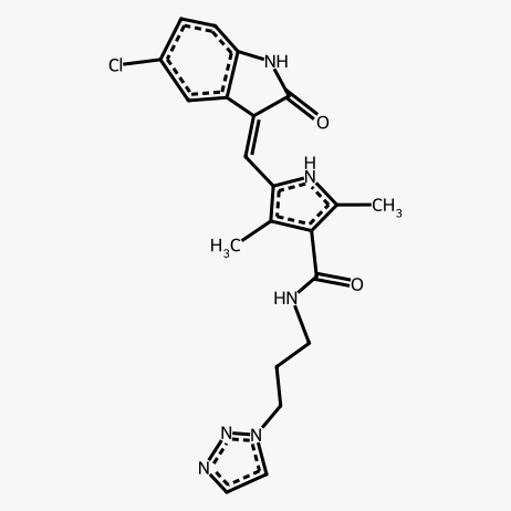 Cc1[nH]c(/C=C2\C(=O)Nc3ccc(Cl)cc32)c(C)c1C(=O)NCCCn1ccnn1